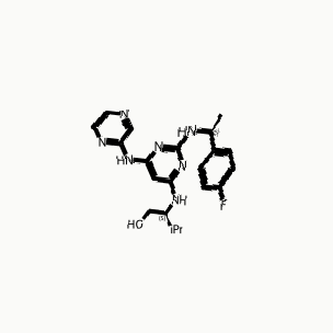 CC(C)[C@@H](CO)Nc1cc(Nc2cnccn2)nc(N[C@@H](C)c2ccc(F)cc2)n1